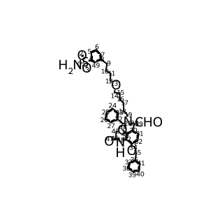 NS(=O)(=O)c1cccc(CCCCOCCCCCCN(Cc2ccccc2)C(C=O)c2ccc(OCc3ccccc3)c3c2OCC(=O)N3)c1